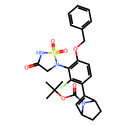 CC(C)(C)OC(=O)N1C2C=C(c3ccc(OCc4ccccc4)c(N4CC(=O)NS4(=O)=O)c3F)C1CC2